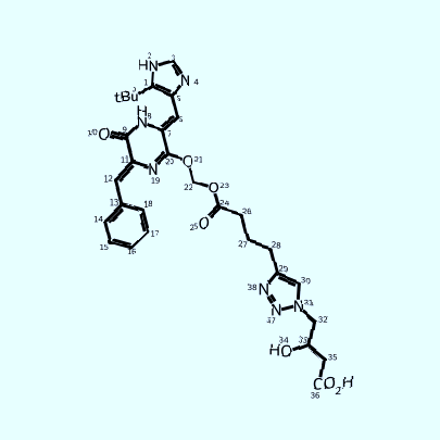 CC(C)(C)c1[nH]cnc1C=c1[nH]c(=O)c(=Cc2ccccc2)nc1OCOC(=O)CCCc1cn(CC(O)CC(=O)O)nn1